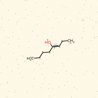 CC/C=C(\O)[CH]CCC